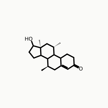 C[C@@H]1CC2=CC(=O)CCC2C2C1C1CCC(O)[C@@]1(C)C[C@@H]2C